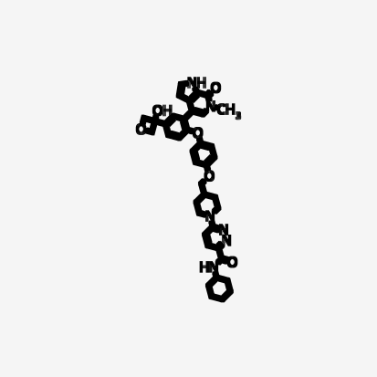 Cn1cc(-c2cc(C3(O)COC3)ccc2Oc2ccc(OCC3CCN(c4ccc(C(=O)NC5CCCCC5)nn4)CC3)cc2)c2cc[nH]c2c1=O